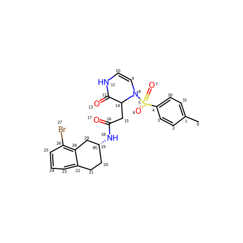 Cc1ccc(S(=O)(=O)N2C=CNC(=O)C2CC(=O)N[C@@H]2CCc3cccc(Br)c3C2)cc1